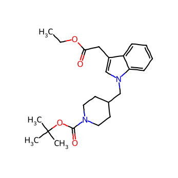 CCOC(=O)Cc1cn(CC2CCN(C(=O)OC(C)(C)C)CC2)c2ccccc12